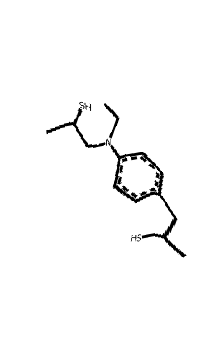 CCN(CC(C)S)c1ccc(CC(C)S)cc1